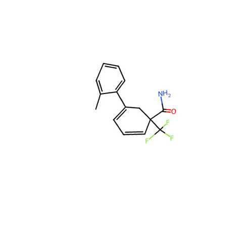 Cc1ccccc1C1=CC=CC(C(N)=O)(C(F)(F)F)C1